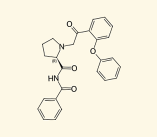 O=C(NC(=O)[C@H]1CCCN1CC(=O)c1ccccc1Oc1ccccc1)c1ccccc1